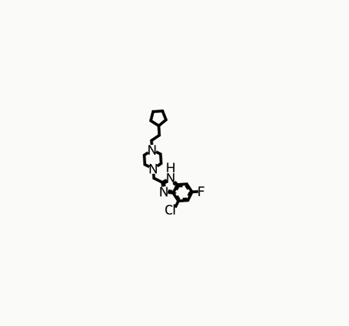 Fc1cc(Cl)c2nc(CN3CCN(CCC4CCCC4)CC3)[nH]c2c1